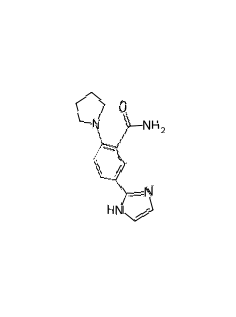 NC(=O)c1cc(-c2ncc[nH]2)ccc1N1CCCC1